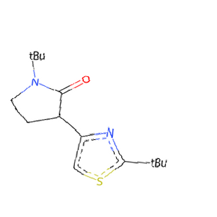 CC(C)(C)c1nc(C2CCN(C(C)(C)C)C2=O)cs1